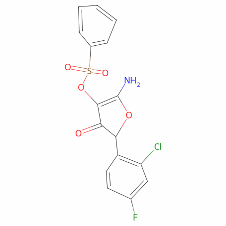 NC1=C(OS(=O)(=O)c2ccccc2)C(=O)C(c2ccc(F)cc2Cl)O1